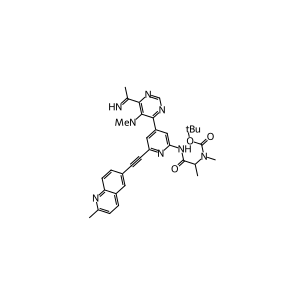 CNc1c(C(C)=N)ncnc1-c1cc(C#Cc2ccc3nc(C)ccc3c2)nc(NC(=O)C(C)N(C)C(=O)OC(C)(C)C)c1